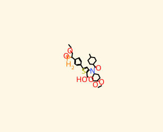 CCOCC([PH2]=O)c1ccc(-c2cc(N(C(=O)C3CCC(C)CC3)C3CCC4(CC3)OCCO4)c(C(=O)O)s2)cc1